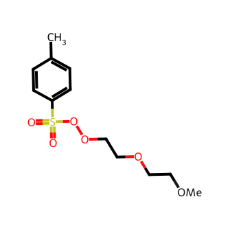 COCCOCCOOS(=O)(=O)c1ccc(C)cc1